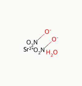 O.O=[N+]([O-])[O-].O=[N+]([O-])[O-].[Sr+2]